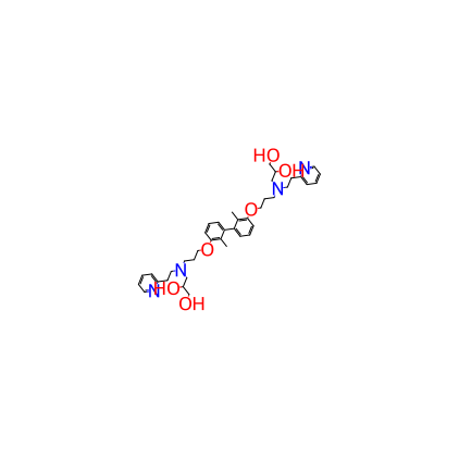 Cc1c(OCCCN(CCc2ccccn2)C[C@H](O)CO)cccc1-c1cccc(OCCCN(CCc2ccccn2)C[C@H](O)CO)c1C